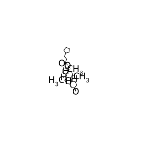 C[C@@H]1CC2=CC(=O)CC[C@@H]2[C@@H]2[C@@H]1[C@@H]1CC[C@H](OC(=O)CCC3CCCC3)[C@@]1(C)C[C@@H]2C